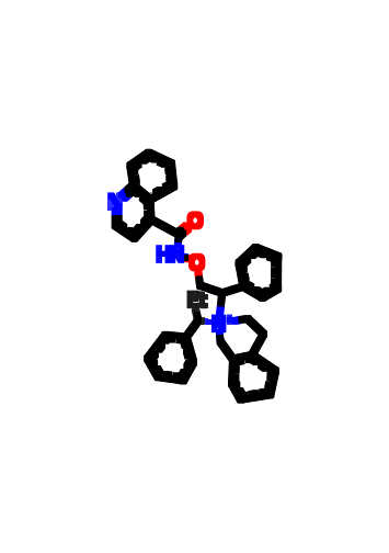 CCC(c1ccccc1)[N@+]1(C(CONC(=O)c2ccnc3ccccc23)c2ccccc2)CCc2ccccc2C1